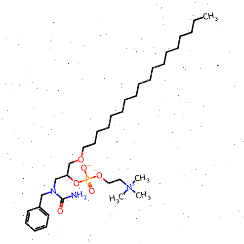 CCCCCCCCCCCCCCCCCCOCC(CN(Cc1ccccc1)C(N)=O)OP(=O)([O-])OCC[N+](C)(C)C